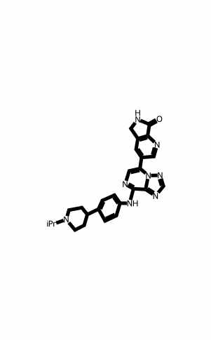 CC(C)N1CCC(c2ccc(Nc3ncc(-c4cnc5c(c4)CNC5=O)n4ncnc34)cc2)CC1